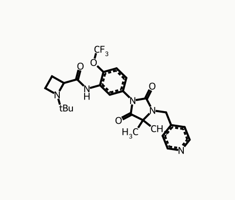 CC(C)(C)N1CCC1C(=O)Nc1cc(N2C(=O)N(Cc3ccncc3)C(C)(C)C2=O)ccc1OC(F)(F)F